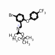 C=C(/N=C/c1cc(Br)ccc1Oc1ccc(C(F)(F)F)cc1)O[Si](C)(C)C